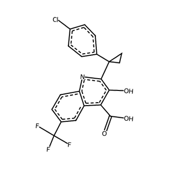 O=C(O)c1c(O)c(C2(c3ccc(Cl)cc3)CC2)nc2ccc(C(F)(F)F)cc12